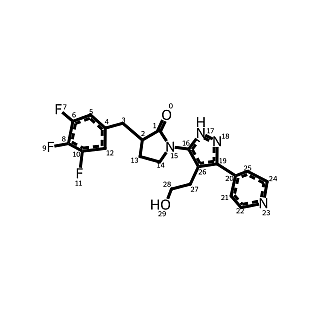 O=C1C(Cc2cc(F)c(F)c(F)c2)CCN1c1[nH]nc(-c2ccncc2)c1CCO